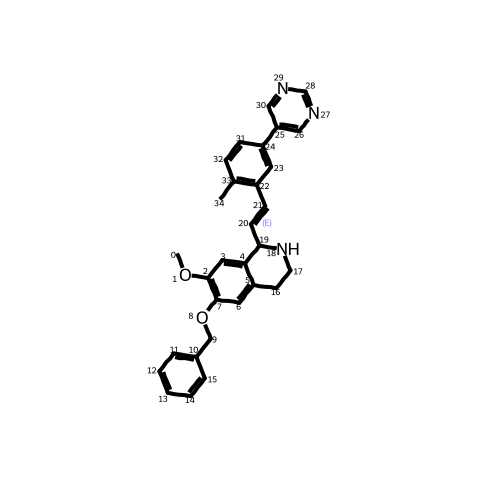 COc1cc2c(cc1OCc1ccccc1)CCNC2/C=C/c1cc(-c2cncnc2)ccc1C